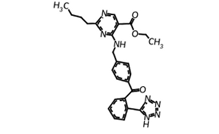 CCCCc1ncc(C(=O)OCC)c(NCc2ccc(C(=O)c3ccccc3-c3nnn[nH]3)cc2)n1